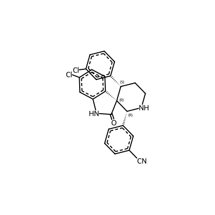 N#Cc1cccc([C@H]2NCC[C@@H](c3cccc(Cl)c3)[C@]23C(=O)Nc2cc(Cl)ccc23)c1